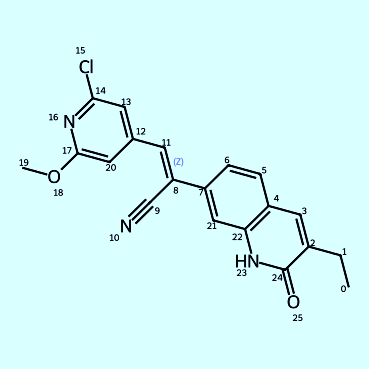 CCc1cc2ccc(/C(C#N)=C/c3cc(Cl)nc(OC)c3)cc2[nH]c1=O